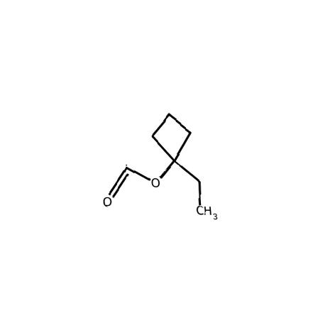 CCC1(O[C]=O)CCC1